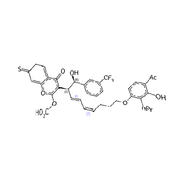 CCCc1c(OCCC/C=C\C=C\[C@@H](c2c(OC(=O)O)oc3c(c2=O)=CCC(=S)C=3)[C@@H](O)c2cccc(C(F)(F)F)c2)ccc(C(C)=O)c1O